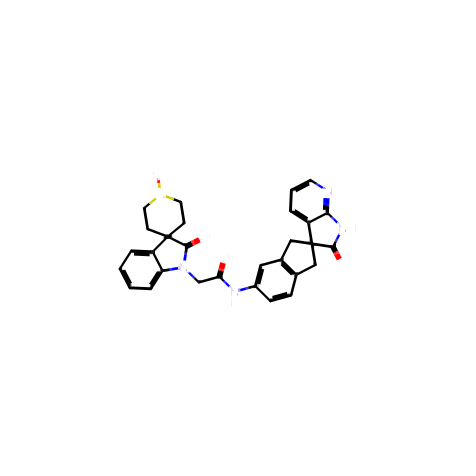 O=C(CN1C(=O)C2(CC[S+]([O-])CC2)c2ccccc21)Nc1ccc2c(c1)CC1(C2)C(=O)Nc2ncccc21